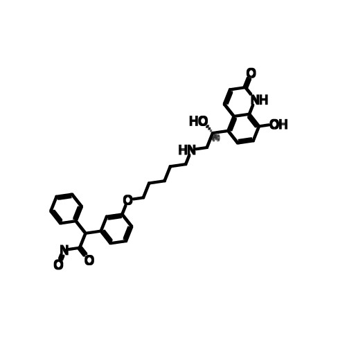 O=NC(=O)C(c1ccccc1)c1cccc(OCCCCCNC[C@H](O)c2ccc(O)c3[nH]c(=O)ccc23)c1